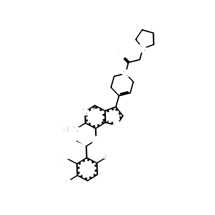 C[C@@H](Oc1c(N)ncc2c(C3=CCN(C(=O)CN4CCCC4)CC3)coc12)c1c(F)ccc(F)c1Cl